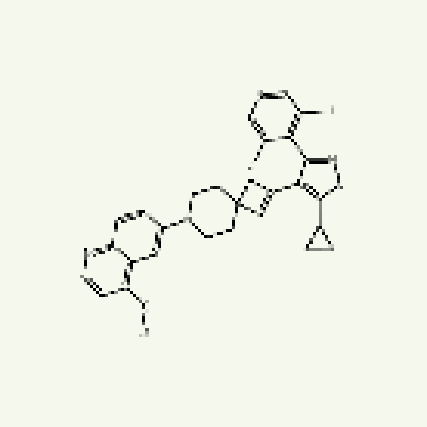 CCOc1ccnc2ccc(N3CCC4(C=C(c5c(-c6c(Cl)cncc6Cl)noc5C5CC5)C4)CC3)cc12